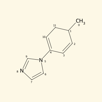 CC1C=CC(n2ccnc2)=CC1